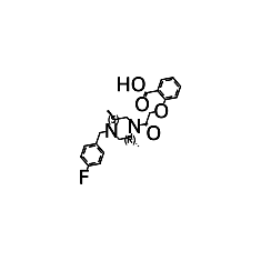 C[C@@H]1CN(Cc2ccc(F)cc2)[C@@H](C)CN1C(=O)COc1ccccc1C(=O)O